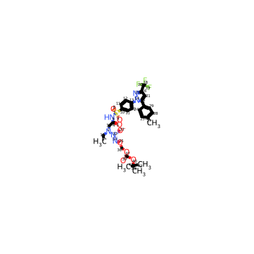 CCN(CC(=O)NS(=O)(=O)c1ccc(-n2nc(C(F)(F)F)cc2-c2ccc(C)cc2)cc1)/[N+]([O-])=N/OCOC(=O)OC(C)(C)C